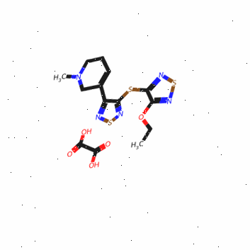 CCOc1nsnc1Sc1nsnc1C1=CCCN(C)C1.O=C(O)C(=O)O